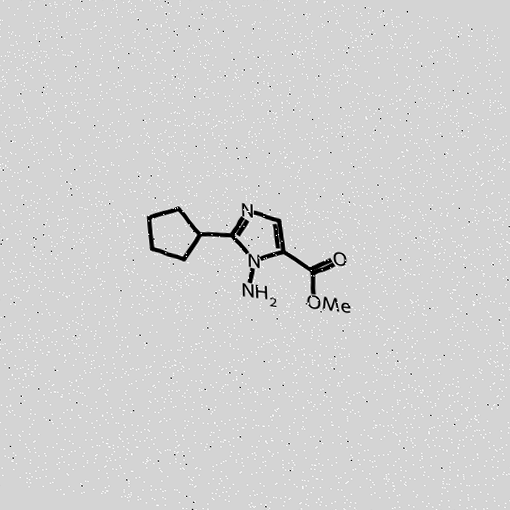 COC(=O)c1cnc(C2CCCC2)n1N